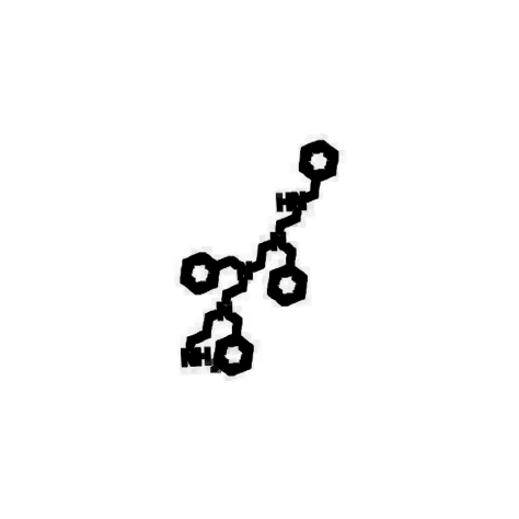 NCCCN(CCN(CCN(CCNCc1ccccc1)Cc1ccccc1)Cc1ccccc1)Cc1ccccc1